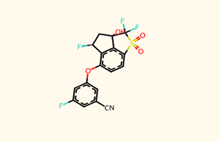 N#Cc1cc(F)cc(Oc2ccc3c4c2[C@@H](F)C[C@]4(O)C(F)(F)S3(=O)=O)c1